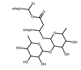 CCCCCCCC(CC)OC(=O)CC(CCCCCCC)OC1OC(C)C(O)C(O)C1OC1OC(C)C(O)C(O)C1O